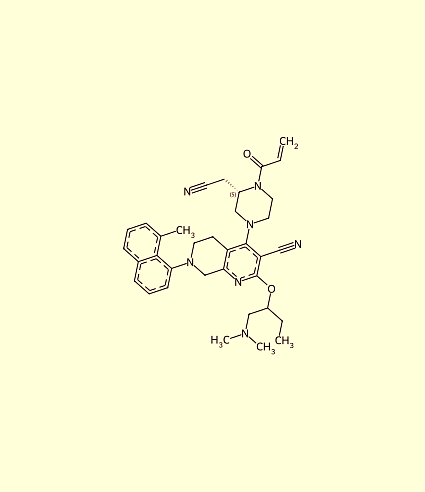 C=CC(=O)N1CCN(c2c(C#N)c(OC(CC)CN(C)C)nc3c2CCN(c2cccc4cccc(C)c24)C3)C[C@@H]1CC#N